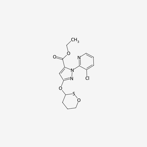 CCOC(=O)c1cc(OC2CCCOS2)nn1-c1ncccc1Cl